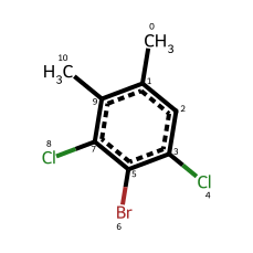 Cc1cc(Cl)c(Br)c(Cl)c1C